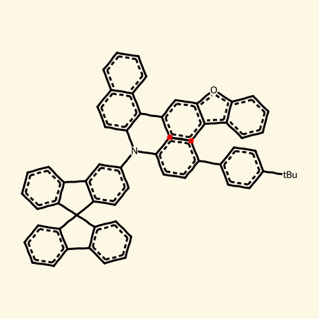 CC(C)(C)c1ccc(-c2ccc(N(c3ccc4c(c3)-c3ccccc3C43c4ccccc4-c4ccccc43)c3ccc4ccccc4c3-c3ccc4c(c3)oc3ccccc34)cc2)cc1